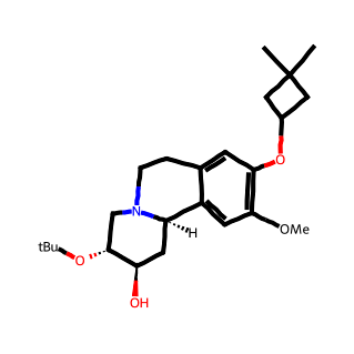 COc1cc2c(cc1OC1CC(C)(C)C1)CCN1C[C@@H](OC(C)(C)C)[C@H](O)C[C@H]21